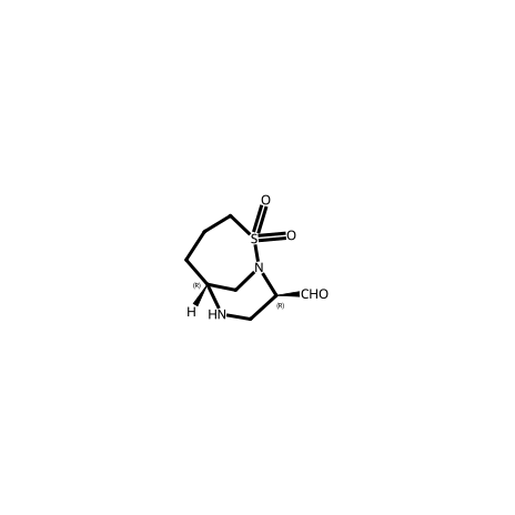 O=C[C@H]1CN[C@@H]2CCCS(=O)(=O)N1C2